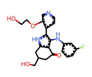 O=C1CC(CO)Cc2[nH]c(-c3ccncc3OCCO)c(Nc3cccc(F)c3)c21